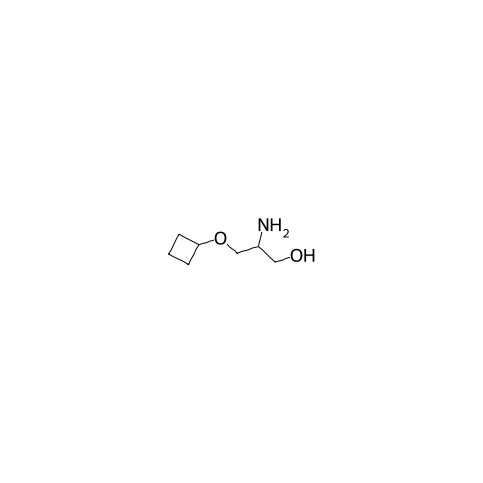 NC(CO)COC1CCC1